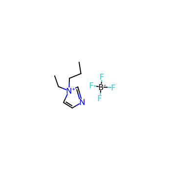 CCC[N+]1(CC)C=CN=C1.F[B-](F)(F)F